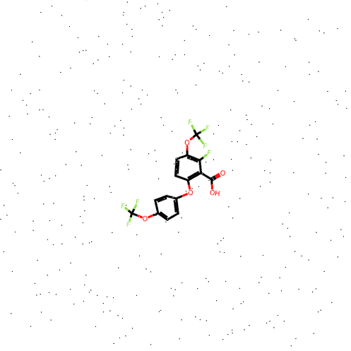 O=C(O)c1c(Oc2ccc(OC(F)(F)F)cc2)ccc(OC(F)(F)F)c1F